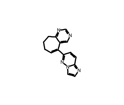 C1=C(c2ccc3nccn3n2)c2cncnc2CCC1